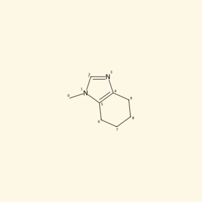 Cn1[c]nc2c1CCCC2